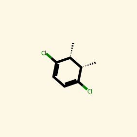 C[C@@H]1C(Cl)=CC=C(Cl)[C@@H]1C